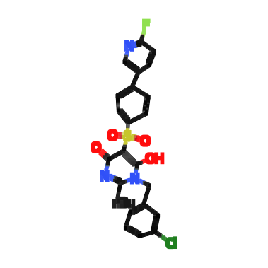 CCCCc1nc(=O)c(S(=O)(=O)c2ccc(-c3ccc(F)nc3)cc2)c(O)n1Cc1cccc(Cl)c1